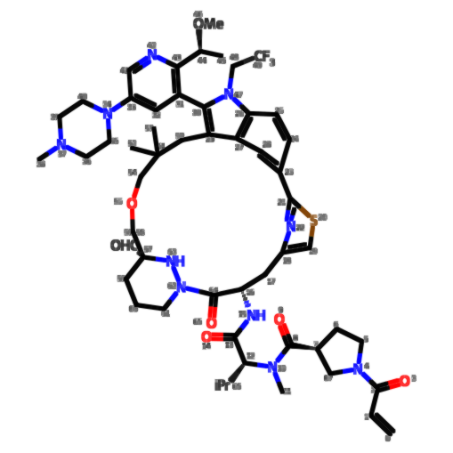 C=CC(=O)N1CC[C@H](C(=O)N(C)[C@H](C(=O)N[C@H]2Cc3csc(n3)-c3ccc4c(c3)c(c(-c3cc(N5CCN(C)CC5)cnc3[C@H](C)OC)n4CC(F)(F)F)CC(C)(C)COC[C@@]3(C=O)CCCN(N3)C2=O)C(C)C)C1